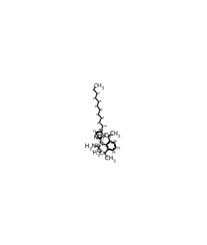 CCCCCCCCCCCn1cnc(N(C(N)=O)c2c(C(C)C)cccc2C(C)C)n1